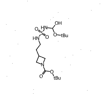 CC(C)(C)OC(=O)N1CC(CCNS(=O)(=O)NC(O)OC(C)(C)C)C1